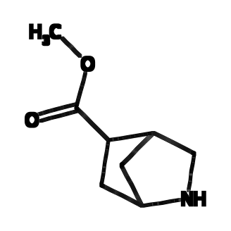 COC(=O)C1CC2CC1CN2